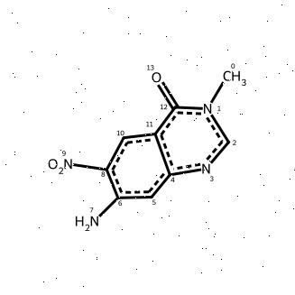 Cn1cnc2cc(N)c([N+](=O)[O-])cc2c1=O